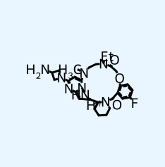 CCN1CCN(C)C2=CC(N3CC(N)C3)=NC3=CC(NN32)[C@@H]2CCCCN2C(=O)c2cc(F)ccc2OCC1=O